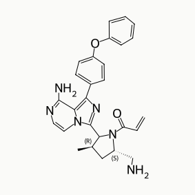 C=CC(=O)N1C(c2nc(-c3ccc(Oc4ccccc4)cc3)c3c(N)nccn23)[C@H](C)C[C@H]1CN